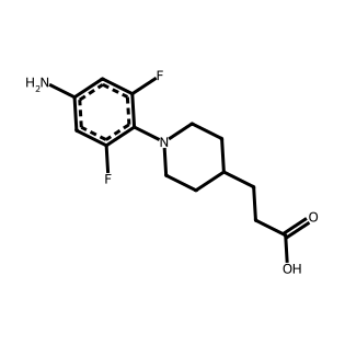 Nc1cc(F)c(N2CCC(CCC(=O)O)CC2)c(F)c1